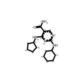 NC(=O)c1cnc(NC2CCCCC2)nc1NC1CCCC1